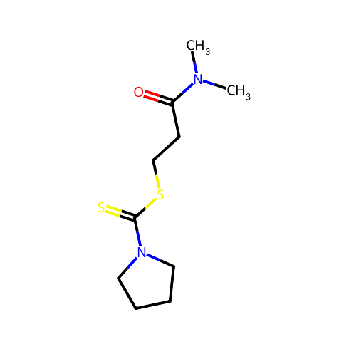 CN(C)C(=O)CCSC(=S)N1CCCC1